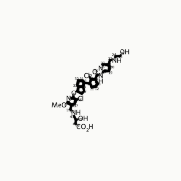 COc1nc(O[C@H]2CCc3c(-c4cccc(C(=O)Nc5ccc(CNCCO)cn5)c4Cl)cccc32)c(Cl)cc1CNC[C@@H](O)CC(=O)O